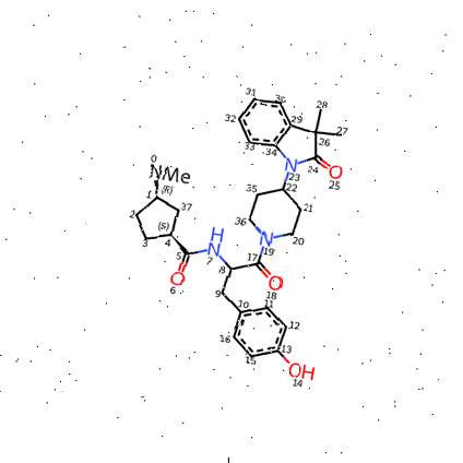 CN[C@@H]1CC[C@H](C(=O)NC(Cc2ccc(O)cc2)C(=O)N2CCC(N3C(=O)C(C)(C)c4ccccc43)CC2)C1